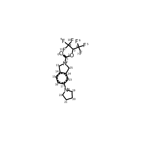 O=C(OC(C(F)(F)F)C(F)(F)F)N1Cc2ccc(N3CCCC3)cc2C1